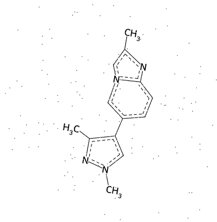 Cc1cn2cc(-c3cn(C)nc3C)ccc2n1